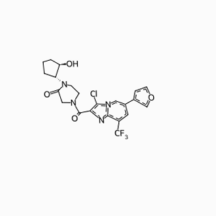 O=C(c1nc2c(C(F)(F)F)cc(-c3ccoc3)cn2c1Cl)N1CCN([C@@H]2CCC[C@H]2O)C(=O)C1